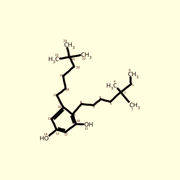 CCC(C)(C)CCCCc1c(O)cc(O)cc1CCCCC(C)(C)C